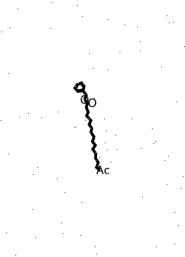 CC(=O)CCCCCCCCCCCCCCCC(=O)OCc1ccccc1